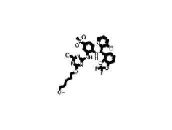 CS(=O)(=O)c1ccc(N[C@@H](c2cccc3c2OC(F)(F)O3)c2ncccc2Cl)c(Nc2nc(Cl)nc(OCCCCCO)n2)c1